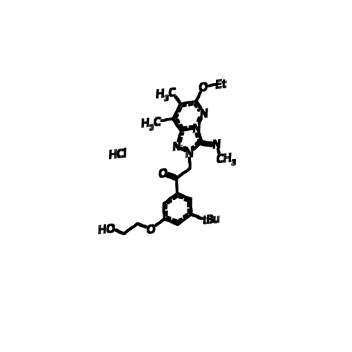 CCOc1nn2c(=NC)n(CC(=O)c3cc(OCCO)cc(C(C)(C)C)c3)nc2c(C)c1C.Cl